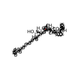 Cc1c(-c2ccc(N3CCc4cccc(C(=O)Nc5nc6ccccc6s5)c4C3)nc2C(=O)O)cnn1CC12CC3(C)CC(C)(C1)CC(OCCN(CCCNC(=O)CCOCCOCCOCCOCCNC(=O)CCN1C(=O)C=CC1=O)CCS(=O)(=O)O)(C3)C2